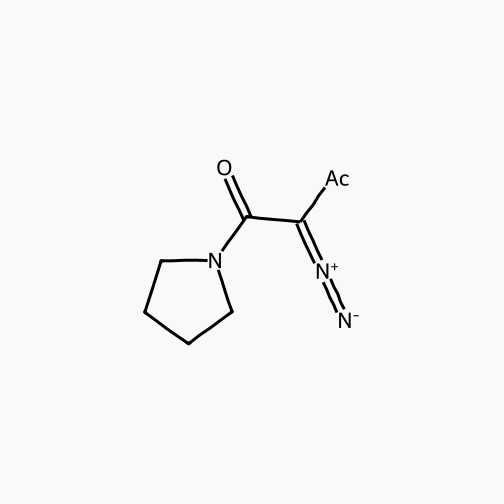 CC(=O)C(=[N+]=[N-])C(=O)N1CCCC1